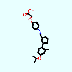 Cc1cc(OC(C)C)ccc1-c1cccc(/C=N/c2ccc(OCC(=O)O)cc2)c1